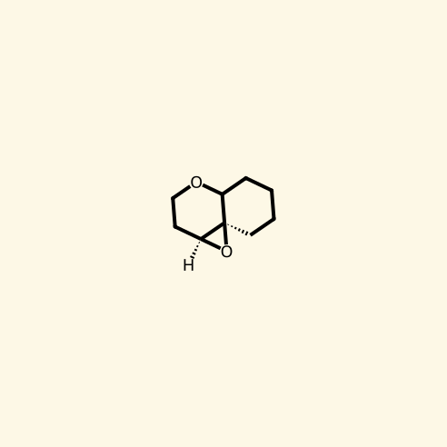 C1CC[C@]23O[C@H]2CCOC3C1